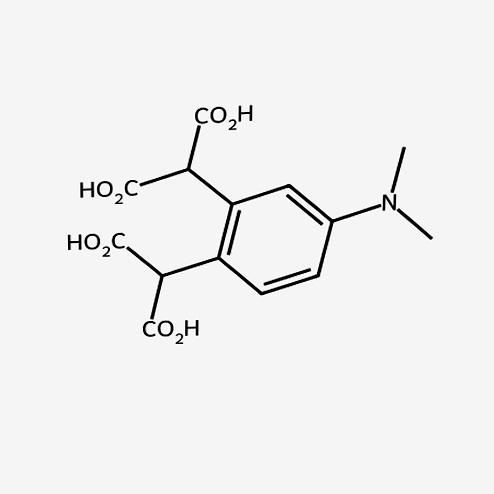 CN(C)c1ccc(C(C(=O)O)C(=O)O)c(C(C(=O)O)C(=O)O)c1